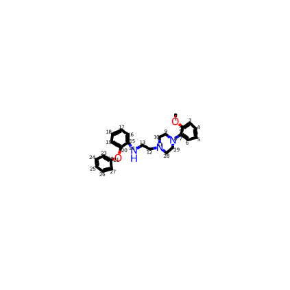 COc1ccccc1N1CCN(CCNc2ccccc2Oc2ccccc2)CC1